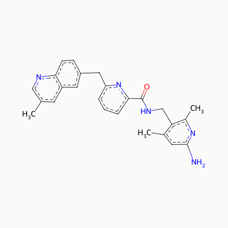 Cc1cnc2ccc(Cc3cccc(C(=O)NCc4c(C)cc(N)nc4C)n3)cc2c1